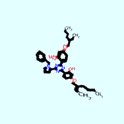 CCCCC(CC)COc1ccc(-c2nc(C3=CCC(OCC(CC)CCCC)C=C3O)nc(-c3cccn3Cc3ccccc3)n2)c(O)c1